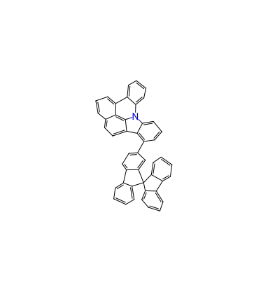 c1ccc2c(c1)-c1ccccc1C21c2ccccc2-c2ccc(-c3cccc4c3c3ccc5cccc6c7ccccc7n4c3c56)cc21